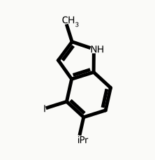 Cc1cc2c(I)c(C(C)C)ccc2[nH]1